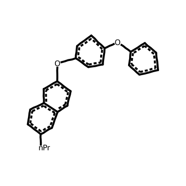 C[CH]Cc1ccc2cc(Oc3ccc(Oc4ccccc4)cc3)ccc2c1